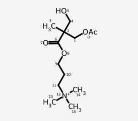 CC(=O)OCC(C)(CO)C(=O)OCCC[N+](C)(C)C